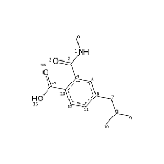 CNC(=O)c1cc(CC(C)C)ccc1C(=O)O